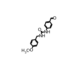 COc1ccc(CNC(=O)Nc2ccc(C=O)cc2)cc1